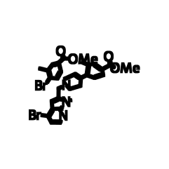 COC(=O)c1ccc(Br)c(C)c1.COC(=O)c1ccc(C2=CCN(Cc3cc4c(Br)ccnc4n3C)CC2)c(C)c1